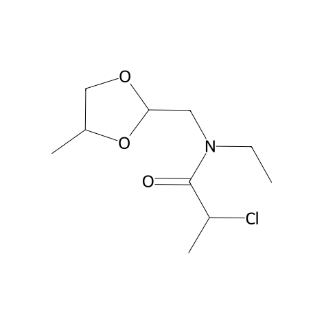 CCN(CC1OCC(C)O1)C(=O)C(C)Cl